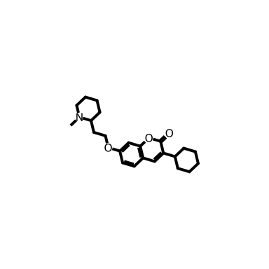 CN1CCCCC1CCOc1ccc2cc(C3CCCCC3)c(=O)oc2c1